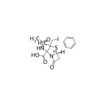 CC(=O)NC1(C(=O)O)N2C(=O)C[C@H]2SC1(C)CI.c1ccccc1